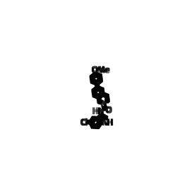 COc1ccc(-c2ccc3c(c2)CCN(C(=O)Nc2c[nH]c4ccc(Cl)cc24)C3)cc1